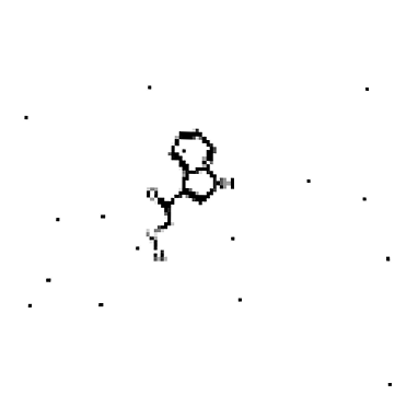 CCOCC(=O)c1c[nH]c2ccccc12